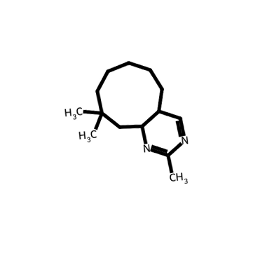 CC1=NC2CC(C)(C)CCCCCC2C=N1